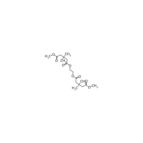 COC(=O)CC(C)(C)CC(=O)OCCOC(=O)CC(C)(C)CC(=O)OC